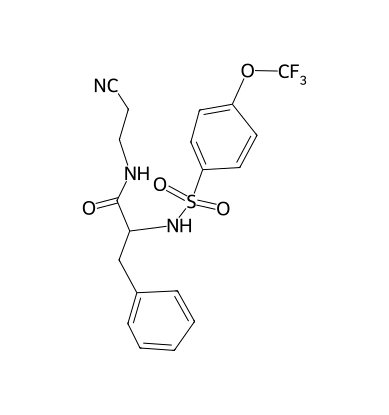 N#CCCNC(=O)C(Cc1ccccc1)NS(=O)(=O)c1ccc(OC(F)(F)F)cc1